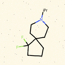 CC(C)N1CCC2(CCCC2(F)F)CC1